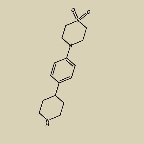 O=S1(=O)CCN(c2ccc(C3CCNCC3)cc2)CC1